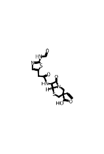 C=CC1(C(=O)O)CS[C@@H]2C(NC(=O)Cc3cnc(NC=O)s3)C(=O)N2C1